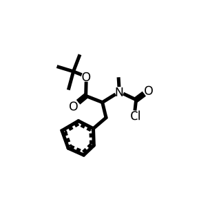 CN(C(=O)Cl)C(Cc1ccccc1)C(=O)OC(C)(C)C